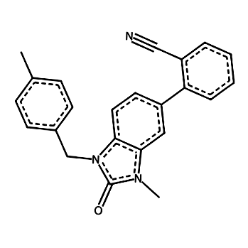 Cc1ccc(Cn2c(=O)n(C)c3cc(-c4ccccc4C#N)ccc32)cc1